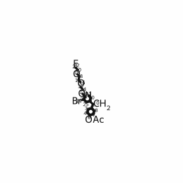 C=C(c1ccc(OC(C)=O)cc1)c1cnc(OCCOCCOCCF)c(Br)c1